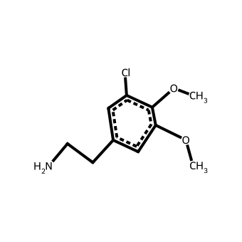 COc1cc(CCN)cc(Cl)c1OC